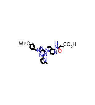 COc1ccc(Cn2cnc3c(-n4ccc5c(NC(=O)CCC(=O)O)nccc54)nc(-c4cccc(C)n4)nc32)cc1